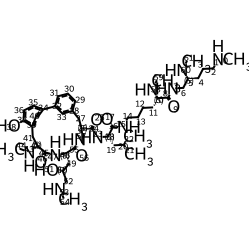 CNCCC[C@@H](CNC(=O)[C@H](CCCCNC(=O)[C@H](CC(C)C)NC(=O)[C@@H]1Cc2cccc(c2)-c2ccc(O)c(c2)C[C@H](NC)C(=O)N[C@@H](C[C@@H](O)CNC)C(=O)N1)NC)NC